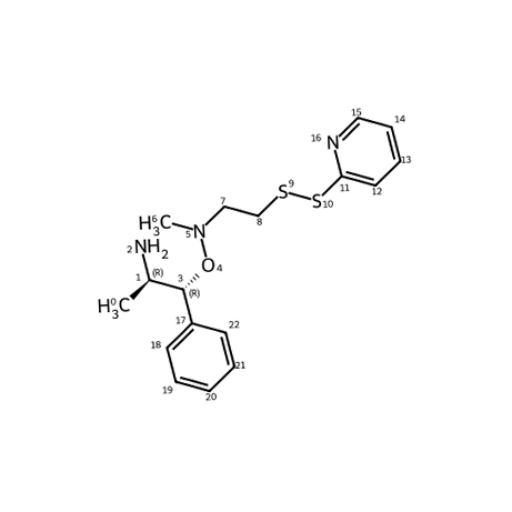 C[C@@H](N)[C@H](ON(C)CCSSc1ccccn1)c1ccccc1